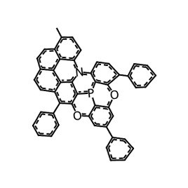 Cc1ccc2c3c1ccc1ccc4c(-c5ccccc5)c5oc6cc(-c7ccccc7)cc7oc8c(-c9ccccc9)ccc9c8p(c5c(c4c13)n29)-c76